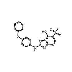 CS(=O)(=O)c1cnc2nc(Nc3ccc(Oc4ccncc4)cc3)nn2c1O